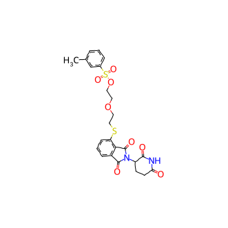 Cc1cccc(S(=O)(=O)OCCOCCSc2cccc3c2C(=O)N(C2CCC(=O)NC2=O)C3=O)c1